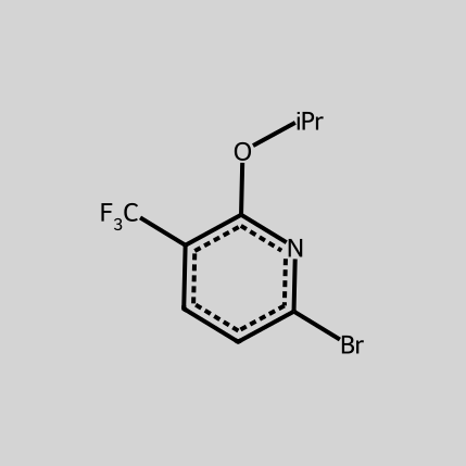 CC(C)Oc1nc(Br)ccc1C(F)(F)F